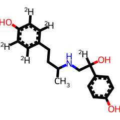 [2H]c1c([2H])c(CCC(C)NCC([2H])(O)c2ccc(O)cc2)c([2H])c([2H])c1O